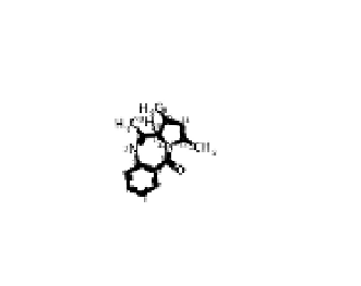 CC1=Nc2ccccc2C(=O)N2C(C)CC(C)[C@@H]12